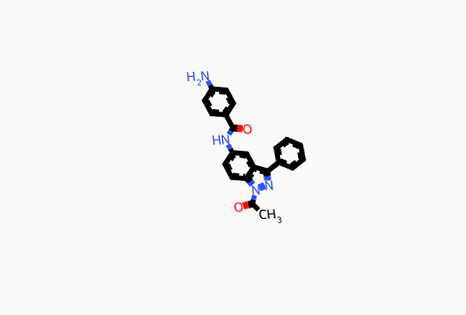 CC(=O)n1nc(-c2ccccc2)c2cc(NC(=O)c3ccc(N)cc3)ccc21